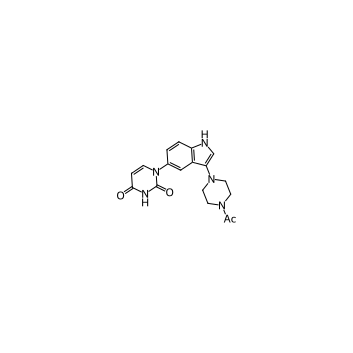 CC(=O)N1CCN(c2c[nH]c3ccc(-n4ccc(=O)[nH]c4=O)cc23)CC1